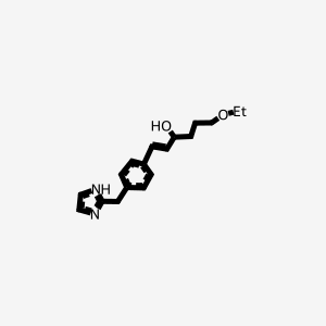 CCOCCCC(O)C=Cc1ccc(Cc2ncc[nH]2)cc1